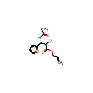 C=CCOC(=O)C(C(C)=O)[C@@H](NC(=O)OC)c1ccco1